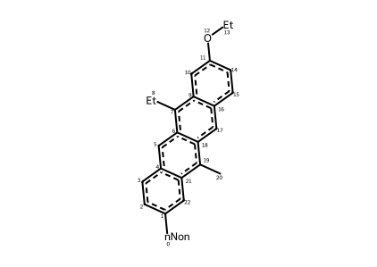 CCCCCCCCCc1ccc2cc3c(CC)c4cc(OCC)ccc4cc3c(C)c2c1